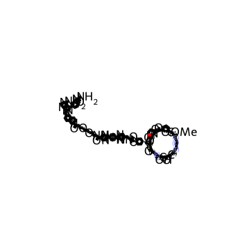 CO[C@H]1CC2CCCC(O2)C(=O)C(=O)N2CCCC[C@H]2C(=O)O[C@H](CC[C@H]2CC[C@H](OC(=O)NCc3cnc(N4CCN(c5ncc(C(=O)NCCOCCOCCC(=O)N6CCc7cc(Cn8nc(-c9ccc%10oc(N)nc%10c9)c9c(N)ncnc98)ccc7C6)cn5)CC4)nc3)CC2)CC(=O)[C@H](C)/C=C(\C)[C@@H](O)CC(=O)[C@H](C)C[C@H](C)/C=C/C=C/C=C/1C